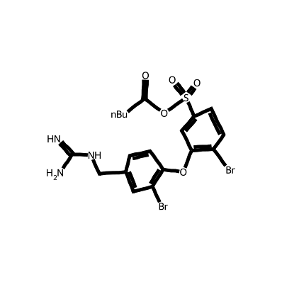 CCCCC(=O)OS(=O)(=O)c1ccc(Br)c(Oc2ccc(CNC(=N)N)cc2Br)c1